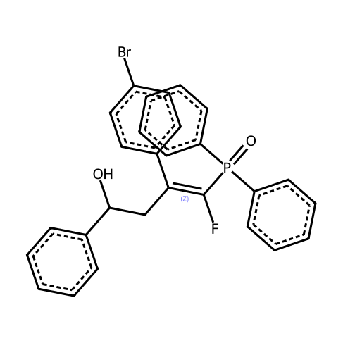 O=P(/C(F)=C(/CC(O)c1ccccc1)c1ccc(Br)cc1)(c1ccccc1)c1ccccc1